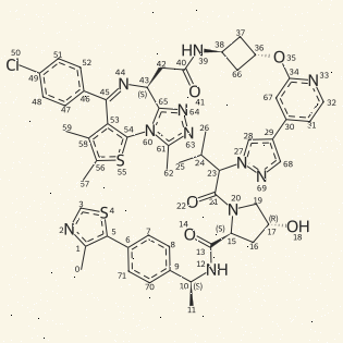 Cc1ncsc1-c1ccc([C@H](C)NC(=O)[C@@H]2C[C@@H](O)CN2C(=O)C(C(C)C)n2cc(-c3ccnc(O[C@H]4C[C@H](NC(=O)C[C@@H]5N=C(c6ccc(Cl)cc6)c6c(sc(C)c6C)-n6c(C)nnc65)C4)c3)cn2)cc1